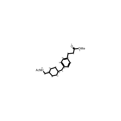 COC(=O)CCc1ccc(CC2CCC(CNC(C)=O)CC2)cc1